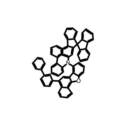 c1ccc(-c2cccc(-c3cc4c(oc5cccc(N(c6ccc7c(c6)C6(c8ccccc8-c8ccccc86)c6ccccc6-7)c6ccccc6-c6ccccc6)c54)c4ccccc34)c2)cc1